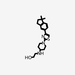 CC1(C)CCc2cc(-c3csc(N4CCC(NCCO)CC4)n3)ccc21